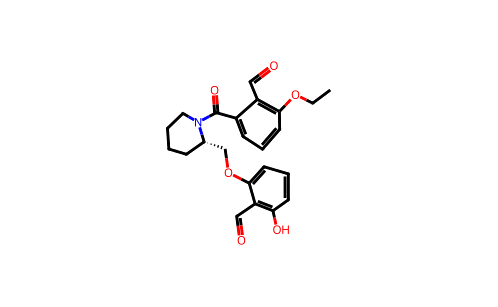 CCOc1cccc(C(=O)N2CCCC[C@H]2COc2cccc(O)c2C=O)c1C=O